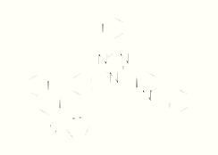 c1ccc(-c2ccc(-c3nc(-c4ccccc4)nc(-c4ccc(-c5c6ccccc6cc6sc7ccccc7c56)cc4)n3)cn2)cc1